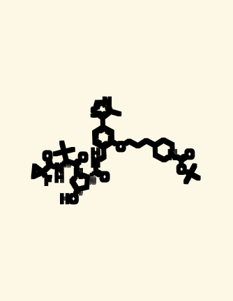 Cc1ncsc1-c1ccc(CNC(=O)[C@@H]2C[C@@H](O)CN2C(=O)[C@@H](NC(=O)C2(F)CC2)C(C)(C)C)c(OCCCC2CCN(C(=O)OC(C)(C)C)CC2)c1